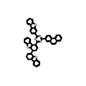 C1=C(c2nc(-c3ccc4c(ccc5ccccc54)c3)nc(-c3ccc4c(c3)oc3ccccc34)n2)c2c(oc3ccccc23)C(C2=CCCc3c2oc2ccccc32)C1